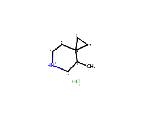 CC1CNCCC12CC2.Cl